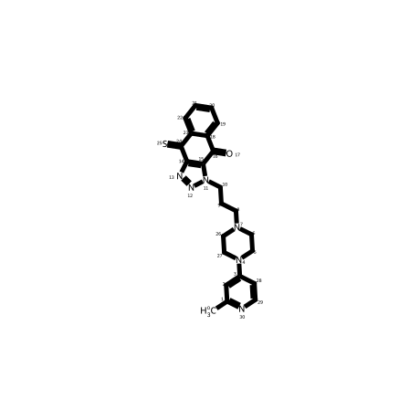 Cc1cc(N2CCN(CCCn3nnc4c3C(=O)c3ccccc3C4=S)CC2)ccn1